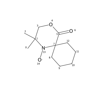 CC1(C)COC(=O)C2(CCCCC2)N1[O]